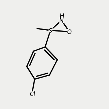 CS1(c2ccc(Cl)cc2)NO1